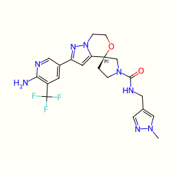 Cn1cc(CNC(=O)N2CC[C@]3(C2)OCCn2nc(-c4cnc(N)c(C(F)(F)F)c4)cc23)cn1